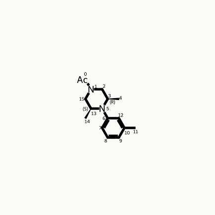 CC(=O)N1C[C@@H](C)N(c2cccc(C)c2)[C@@H](C)C1